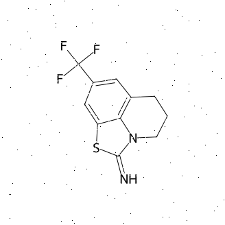 N=c1sc2cc(C(F)(F)F)cc3c2n1CCC3